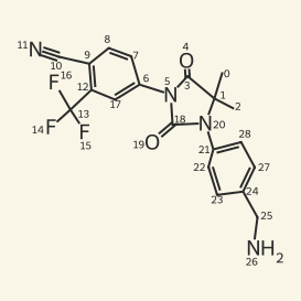 CC1(C)C(=O)N(c2ccc(C#N)c(C(F)(F)F)c2)C(=O)N1c1ccc(CN)cc1